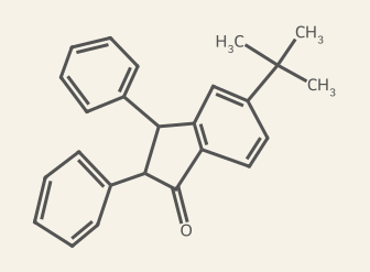 CC(C)(C)c1ccc2c(c1)C(c1ccccc1)C(c1ccccc1)C2=O